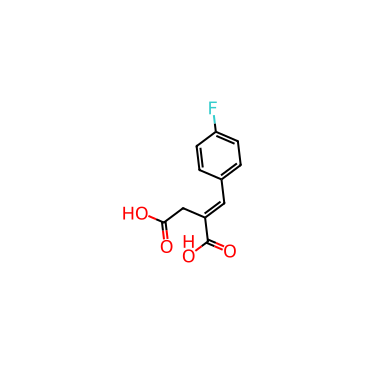 O=C(O)C/C(=C\c1ccc(F)cc1)C(=O)O